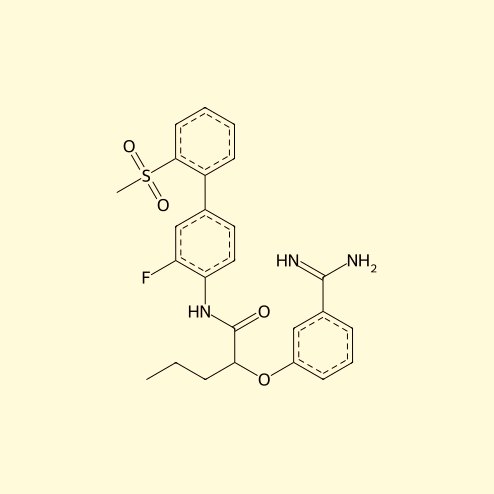 CCCC(Oc1cccc(C(=N)N)c1)C(=O)Nc1ccc(-c2ccccc2S(C)(=O)=O)cc1F